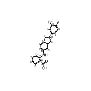 Cc1ccc(N2Cc3ccc(Nc4ccccc4C(=O)O)cc3C2)cc1F